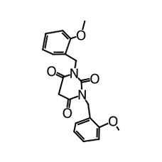 COc1ccccc1CN1C(=O)CC(=O)N(Cc2ccccc2OC)C1=O